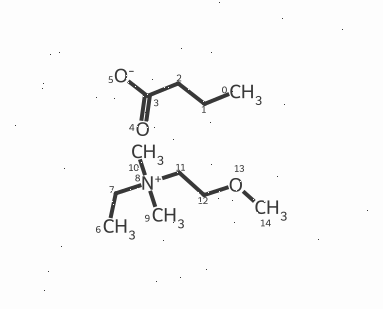 CCCC(=O)[O-].CC[N+](C)(C)CCOC